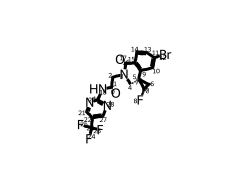 O=C(CN1C[C@@]2(C[C@H]2F)c2cc(Br)ccc2C1=O)Nc1ncc(C(F)(F)F)cn1